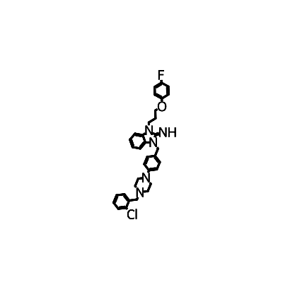 N=c1n(CCCOc2ccc(F)cc2)c2ccccc2n1Cc1ccc(N2CCN(Cc3ccccc3Cl)CC2)cc1